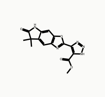 COC(=O)c1[nH]nnc1-c1nc2cc3c(cc2o1)NC(=O)C3(C)C